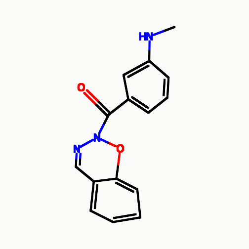 CNc1cccc(C(=O)N2N=Cc3ccccc3O2)c1